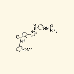 COc1cccc(CNC(=O)c2ccc(-c3ccnc(Nc4ccc(CNC(N)=O)cc4)n3)s2)c1